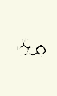 CCCC(N)C(=O)N(Cc1ccccn1)C(C)C